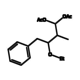 CCOC(Cc1ccccc1)C(C)C(OC(C)=O)OC(C)=O